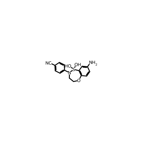 N#Cc1ccc(N2CCOc3ccc(N)cc3S2(O)O)cc1